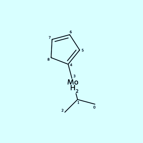 C[CH](C)[MoH2][C]1=CC=CC1